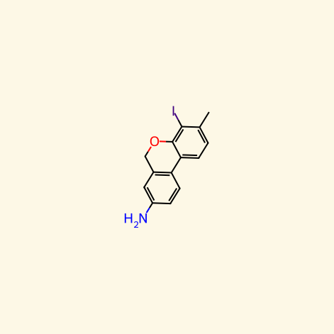 Cc1ccc2c(c1I)OCc1cc(N)ccc1-2